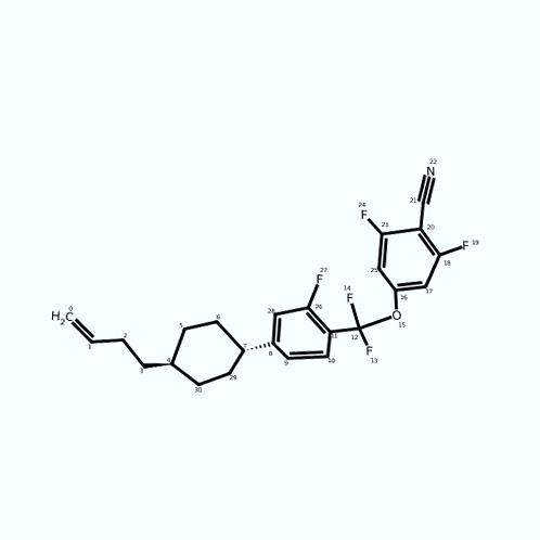 C=CCC[C@H]1CC[C@H](c2ccc(C(F)(F)Oc3cc(F)c(C#N)c(F)c3)c(F)c2)CC1